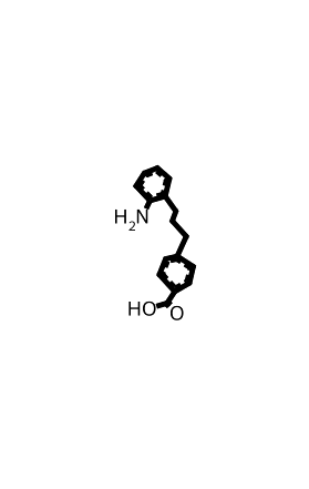 Nc1ccccc1CCCc1ccc(C(=O)O)cc1